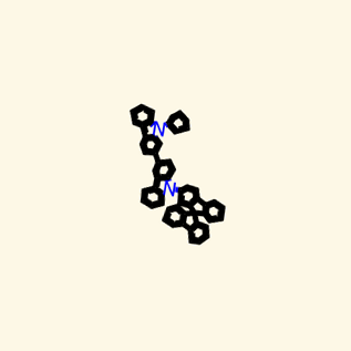 c1ccc(-n2c3ccccc3c3ccc(-c4ccc5c(c4)c4ccccc4n5-c4ccc5c(c4)C4(c6ccccc6-c6ccccc64)c4ccccc4-5)cc32)cc1